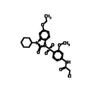 CCOc1ccc2c(c1)n(C1CCCCC1)c(=O)n2S(=O)(=O)c1ccc(NC(=O)CCl)cc1OC